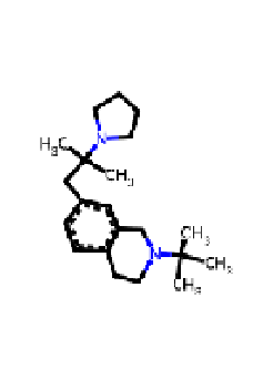 CC(C)(C)N1CCc2ccc(CC(C)(C)N3CCCC3)cc2C1